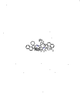 CC(C)CCN1/C(=C\C2=C(O)C(=C\C3=[N+](C)c4ccc5ccccc5c4C34CCCCC4)/C2=O)C(C)(C)c2c1ccc1ccccc21